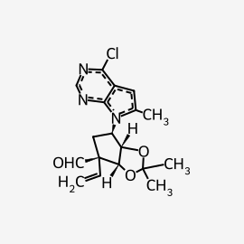 C=C[C@]1(C=O)C[C@@H](n2c(C)cc3c(Cl)ncnc32)[C@@H]2OC(C)(C)O[C@@H]21